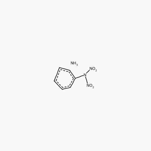 N.O=[N+]([O-])N(c1ccccc1)[N+](=O)[O-]